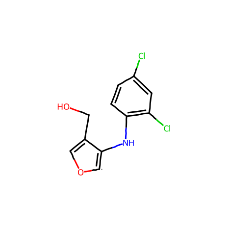 OCc1co[c]c1Nc1ccc(Cl)cc1Cl